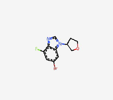 Fc1cc(Br)cc2c1ncn2C1CCOC1